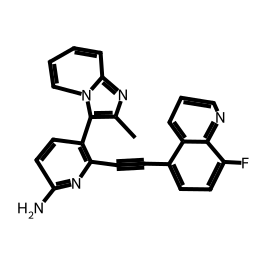 Cc1nc2ccccn2c1-c1ccc(N)nc1C#Cc1ccc(F)c2ncccc12